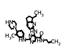 C=CCNC(=O)c1cnc(Nc2ccc(N3CCNCC3)c(C)c2)nc1Nc1ccc2c(n1)C(CC)CC2